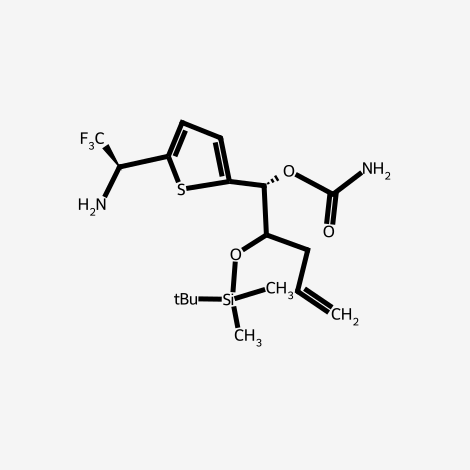 C=CCC(O[Si](C)(C)C(C)(C)C)[C@@H](OC(N)=O)c1ccc([C@@H](N)C(F)(F)F)s1